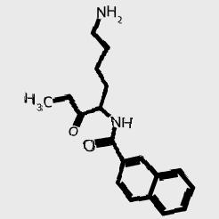 CCC(=O)C(CCCCN)NC(=O)c1ccc2ccccc2c1